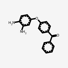 Nc1ccc(Oc2ccc(C(=O)c3ccccc3)cc2)cc1N